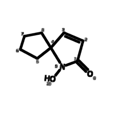 O=C1C=CC2(CCCC2)N1O